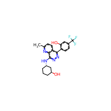 Cc1ccc2c(-c3ccc(C(F)(F)F)cc3O)nnc(N[C@H]3CCC[C@H](O)C3)c2n1